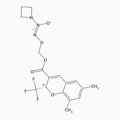 Cc1cc(C)c2c(c1)C=C(C(=O)OCO/N=[N+](\[O-])N1CCC1)[C@@H](C(F)(F)F)O2